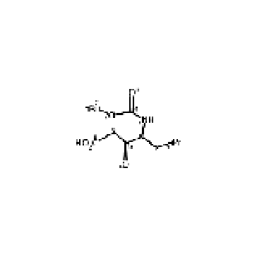 CC(C)CC(NC(=O)OC(C)(C)C)C(=O)CC(=O)O